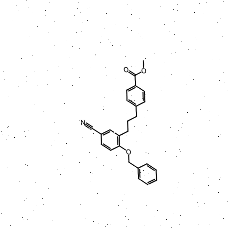 COC(=O)c1ccc(CCCc2cc(C#N)ccc2OCc2ccccc2)cc1